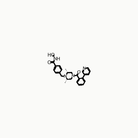 C[C@@H]1CN(C(=O)c2ccccc2-c2cccnc2)C[C@H](C)N1Cc1ccc(C(=O)NO)cc1